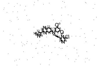 COc1cc(OC)cc(N(CC#Cc2cncc(Cl)n2)c2ccc3ncc(-c4cnn(C)c4)nc3c2)c1